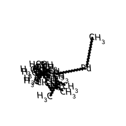 CCCCC1=C(c2cc(CCCC)cc(CCCC)c2)[N+](=[N-])C(c2cc(CCCC)cc(CCCC)c2)=C1.CCCCC1=C(c2cc(C[Si](C)(C)C)cc(C[Si](C)(C)C)c2)[N+](=[N-])C(c2cc(C[Si](C)(C)C)cc(C[Si](C)(C)C)c2)=C1CCCC.CCCCCCCCCCCCCCCCCCCCC[CH2][Pd][CH2]CCCCCCCCCCCCCCCCCCCCC.CC[O][Ni][O]CC